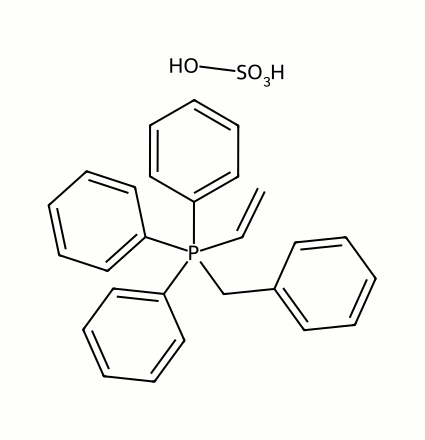 C=CP(Cc1ccccc1)(c1ccccc1)(c1ccccc1)c1ccccc1.O=S(=O)(O)O